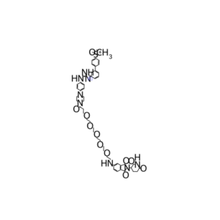 C[S+]([O-])c1ccc(C2=CC=C/C(=N/C(=N)Nc3ccc(N4CCN(C(=O)CCOCCOCCOCCOCCOCCNc5ccc6c(c5)C(=O)N(C5CCC(=O)NC5=O)C6=O)CC4)cc3)C2)cc1